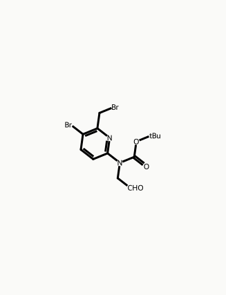 CC(C)(C)OC(=O)N(CC=O)c1ccc(Br)c(CBr)n1